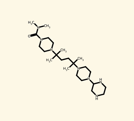 CN(C)C(=O)N1CCN(C(C)(C)CCC(C)(C)N2CCN(C3CNCCN3)CC2)CC1